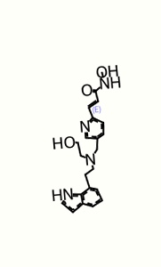 O=C(/C=C/c1ccc(CN(CCO)CCc2cccc3cc[nH]c23)cn1)NO